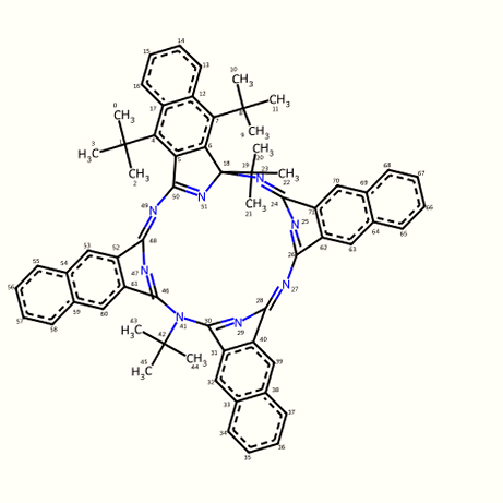 CC(C)(C)c1c2c(c(C(C)(C)C)c3ccccc13)C1(C(C)(C)C)N=C3N=C(N=C4N=C(c5cc6ccccc6cc54)N(C(C)(C)C)C4=NC(=NC2=N1)c1cc2ccccc2cc14)c1cc2ccccc2cc13